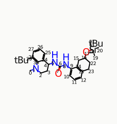 CN1CCC(NC(=O)Nc2cccc3c2CC(O[Si](C)(C)C(C)(C)C)CC3)c2cccc(C(C)(C)C)c21